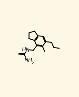 C=C(N)NCc1c(C)c(CCC)cc2c1CCC2